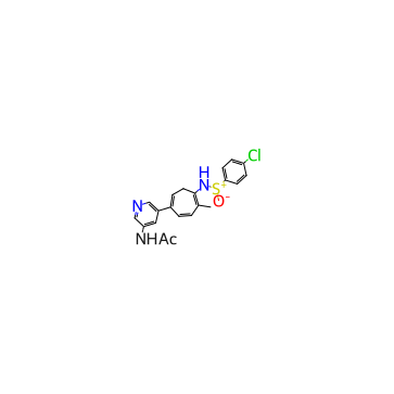 CC(=O)Nc1cncc(C2=CCC(N[S+]([O-])c3ccc(Cl)cc3)=C(C)C=C2)c1